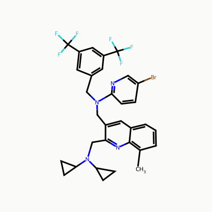 Cc1cccc2cc(CN(Cc3cc(C(F)(F)F)cc(C(F)(F)F)c3)c3ccc(Br)cn3)c(CN(C3CC3)C3CC3)nc12